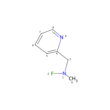 CN(F)Cc1ccccn1